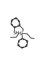 CCC[Si](CCC)(Cc1ccccc1S)c1ccccc1